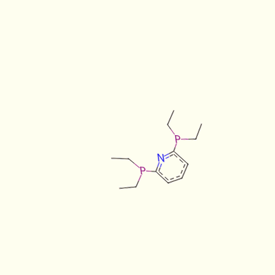 CCP(CC)c1cccc(P(CC)CC)n1